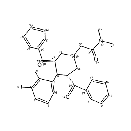 Cc1c(I)cccc1C1[C@@H](C(=O)c2ccccc2)CN(CC(=O)N(C)C)C[C@@H]1C(=O)c1ccccc1